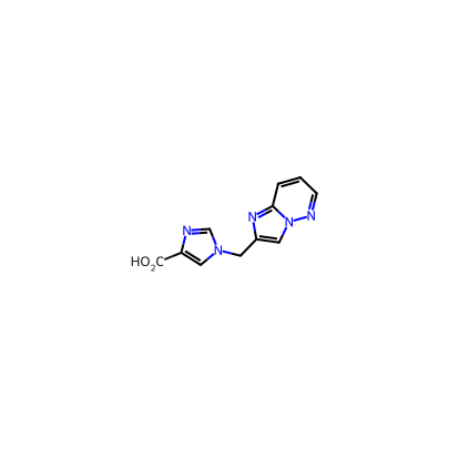 O=C(O)c1cn(Cc2cn3ncccc3n2)cn1